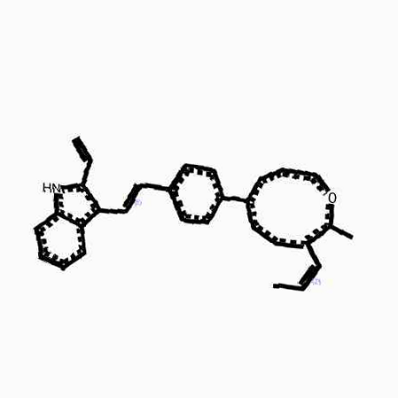 C=Cc1[nH]c2ccccc2c1/C=C/c1ccc(-c2cccoc(C)c(/C=C\C)cc2)cc1